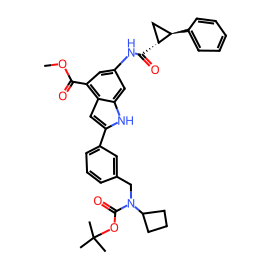 COC(=O)c1cc(NC(=O)[C@@H]2C[C@H]2c2ccccc2)cc2[nH]c(-c3cccc(CN(C(=O)OC(C)(C)C)C4CCC4)c3)cc12